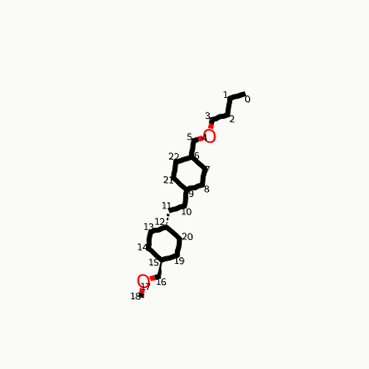 CCCCOCC1CCC(CC[C@H]2CC[C@H](COC)CC2)CC1